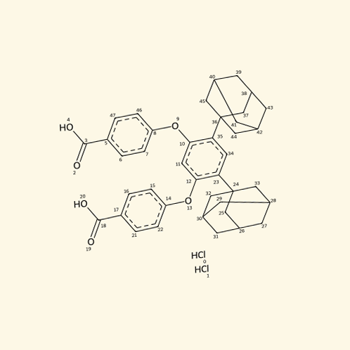 Cl.Cl.O=C(O)c1ccc(Oc2cc(Oc3ccc(C(=O)O)cc3)c(C34CC5CC(CC(C5)C3)C4)cc2C23CC4CC(CC(C4)C2)C3)cc1